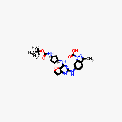 Cc1nn(C(=O)O)c2cc(Nc3nc(N[C@H]4CC[C@@H](NC(=O)OC(C)(C)C)C4)c4occc4n3)ccc12